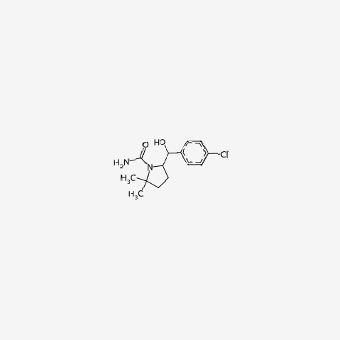 CC1(C)CCC(C(O)c2ccc(Cl)cc2)N1C(N)=O